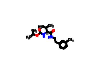 Cc1cccc(CCNC(=O)[C@@H](NC(=O)OC(C)C)C(C)C)c1